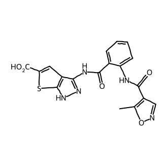 Cc1oncc1C(=O)Nc1ccccc1C(=O)Nc1n[nH]c2sc(C(=O)O)cc12